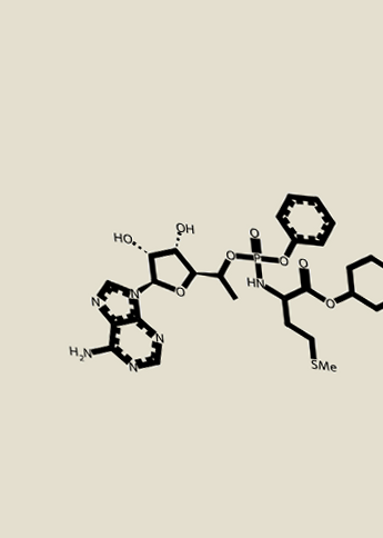 CSCCC(NP(=O)(Oc1ccccc1)OC(C)[C@H]1O[C@@H](n2cnc3c(N)ncnc32)[C@H](O)[C@@H]1O)C(=O)OC1CCCCC1